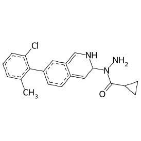 Cc1cccc(Cl)c1-c1ccc2c(c1)=CNC(N(N)C(=O)C1CC1)C=2